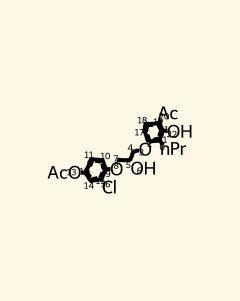 CCCc1c(OCC(O)COc2ccc(OC(C)=O)cc2Cl)ccc(C(C)=O)c1O